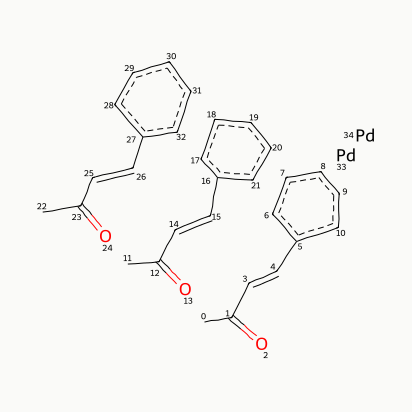 CC(=O)C=Cc1ccccc1.CC(=O)C=Cc1ccccc1.CC(=O)C=Cc1ccccc1.[Pd].[Pd]